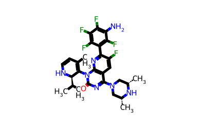 CC1=C(n2c(=O)nc(N3C[C@@H](C)N[C@@H](C)C3)c3cc(F)c(-c4c(F)c(N)c(F)c(F)c4F)nc32)[C@@H](C(C)C)NC=C1